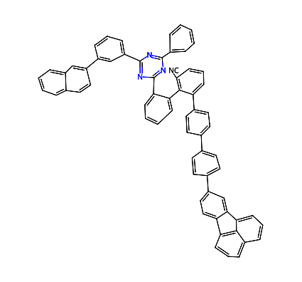 N#Cc1cccc(-c2ccc(-c3ccc(-c4ccc5c(c4)-c4cccc6cccc-5c46)cc3)cc2)c1-c1ccccc1-c1nc(-c2ccccc2)nc(-c2cccc(-c3ccc4ccccc4c3)c2)n1